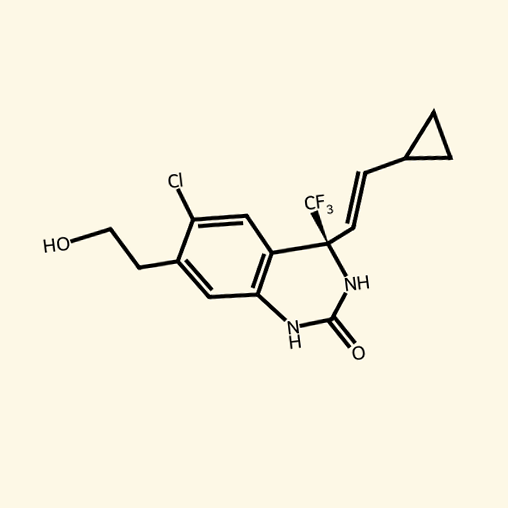 O=C1Nc2cc(CCO)c(Cl)cc2[C@@](/C=C/C2CC2)(C(F)(F)F)N1